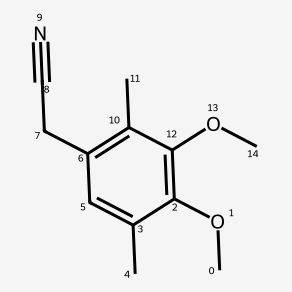 COc1c(C)cc(CC#N)c(C)c1OC